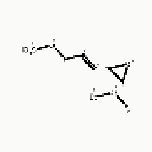 C1CO1.C=CCOS(=O)(=O)O.CCOCC